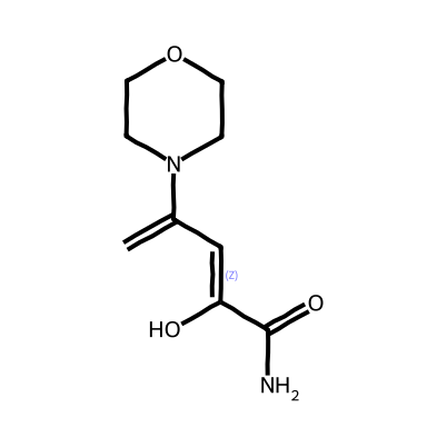 C=C(/C=C(\O)C(N)=O)N1CCOCC1